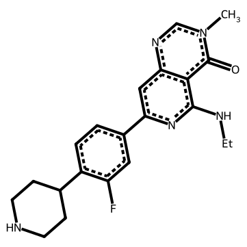 CCNc1nc(-c2ccc(C3CCNCC3)c(F)c2)cc2ncn(C)c(=O)c12